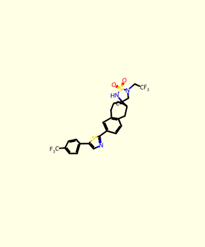 O=S1(=O)NC2(CN1CC(F)(F)F)C1CCC2Cc2cc(-c3ncc(-c4ccc(C(F)(F)F)cc4)s3)ccc2C1